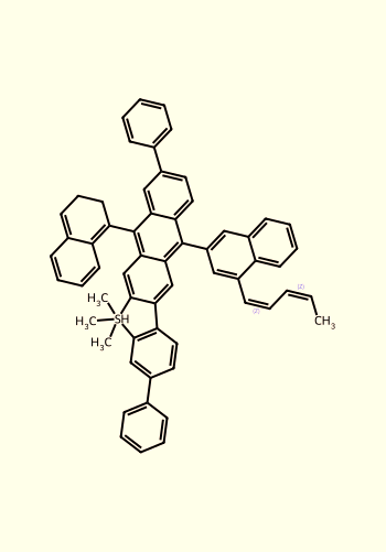 C/C=C\C=C/c1cc(-c2c3ccc(-c4ccccc4)cc3c(C3=c4ccccc4=CCC3)c3cc4c(cc23)-c2ccc(-c3ccccc3)cc2[SH]4(C)(C)C)cc2ccccc12